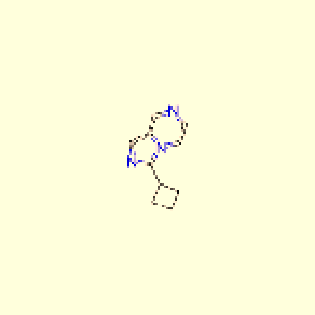 c1cn2c(C3CCC3)ncc2cn1